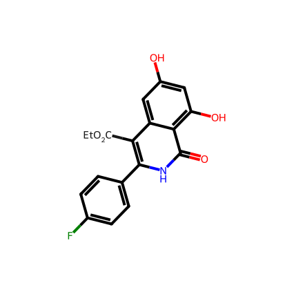 CCOC(=O)c1c(-c2ccc(F)cc2)[nH]c(=O)c2c(O)cc(O)cc12